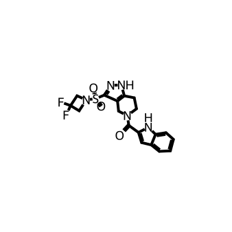 O=C(c1cc2ccccc2[nH]1)N1CCc2[nH]nc(S(=O)(=O)N3CC(F)(F)C3)c2C1